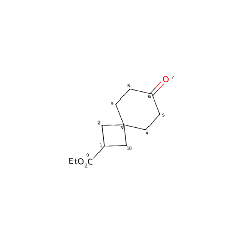 CCOC(=O)C1CC2(CCC(=O)CC2)C1